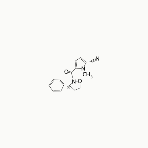 Cn1c(C#N)ccc1C(=O)N1OCC[C@@H]1c1ccccc1